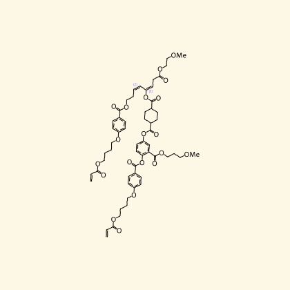 C=CC(=O)OCCCCOc1ccc(C(=O)OCC/C=C\C(=C/CC(=O)OCCOC)OC(=O)C2CCC(C(=O)Oc3ccc(OC(=O)c4ccc(OCCCCOC(=O)C=C)cc4)c(C(=O)OCCCOC)c3)CC2)cc1